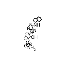 CO[C@H](COS(N)(=O)=O)[C@@H](O)[C@H](OC)n1cnc2c(N[C@H]3CCc4ccccc43)ncnc21